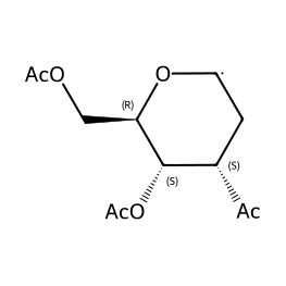 CC(=O)OC[C@H]1O[CH]C[C@H](C(C)=O)[C@@H]1OC(C)=O